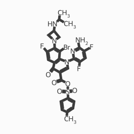 Cc1ccc(S(=O)(=O)OC(=O)c2cn(-c3nc(N)c(F)cc3F)c3c(Br)c(N4CC(NC(C)C)C4)c(F)cc3c2=O)cc1